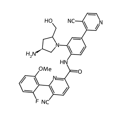 COc1cccc(F)c1-c1nc(C(=O)Nc2ccc(-c3cnccc3C#N)cc2N2C[C@@H](N)CC2CO)ccc1C#N